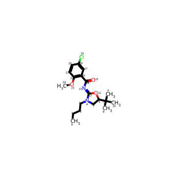 CCCCN1CC(C(C)(C)C)O/C1=N\C(=O)c1cc(Cl)ccc1OC